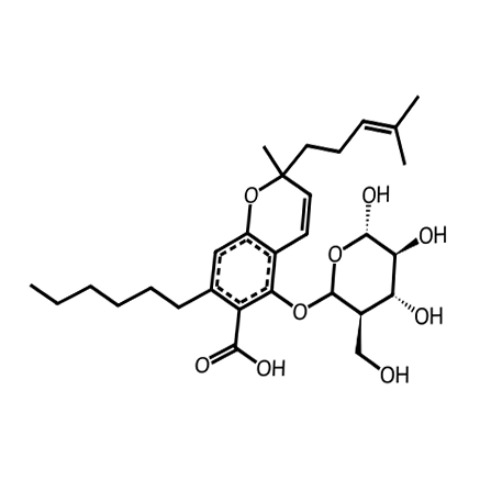 CCCCCCc1cc2c(c(OC3O[C@H](O)[C@@H](O)[C@H](O)[C@H]3CO)c1C(=O)O)C=CC(C)(CCC=C(C)C)O2